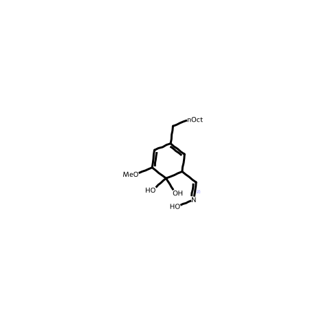 CCCCCCCCCC1=CC(/C=N\O)C(O)(O)C(OC)=C1